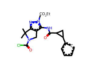 CCOC(=O)n1nc2c(c1NC(=O)C1CC1c1ccccc1)CN(C(=O)Cl)C2(C)C